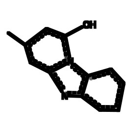 Cc1cc(O)n2c(c1)nc1ccccc12